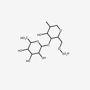 CC1COC(COS(=O)(=O)O)C(OC2OC(C(=O)O)C(O)C(O)C2O)C1O